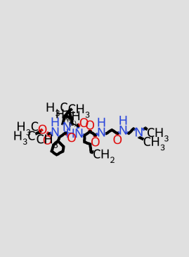 C=CCCC(NC(=O)[C@@H]1[C@@H]2[C@H](CN1C(=O)C(NC(=O)OC(C)(C)C)C1CCCCC1)C2(C)C)C(=O)C(=O)NCCC(=O)NCCN(CC)CC